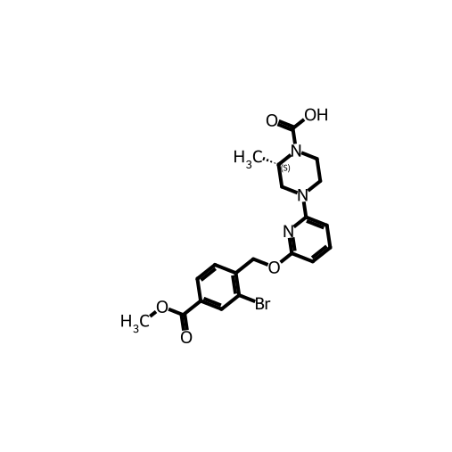 COC(=O)c1ccc(COc2cccc(N3CCN(C(=O)O)[C@@H](C)C3)n2)c(Br)c1